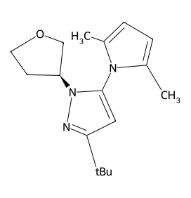 Cc1ccc(C)n1-c1cc(C(C)(C)C)nn1[C@H]1CCOC1